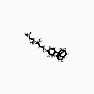 CN(C)CCNC(=O)CCOc1ccc(C23CC4CC(CC(C4)C2)C3)cc1